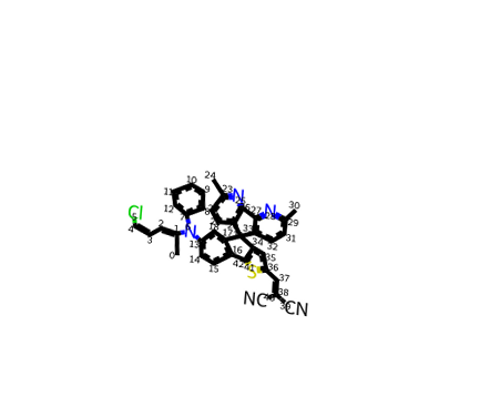 C/C(=C\C=C/Cl)N(c1ccccc1)c1ccc2c(c1)C1(c3ccc(C)nc3-c3nc(C)ccc31)c1cc(C=C(C#N)C#N)sc1-2